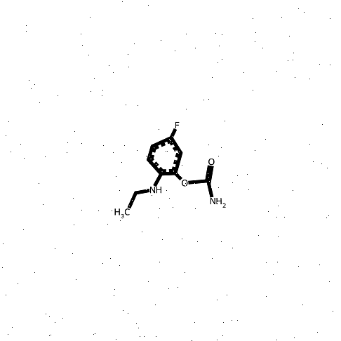 CCNc1ccc(F)cc1OC(N)=O